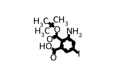 CC(C)(C)OC(=O)c1c(N)cc(I)cc1C(=O)O